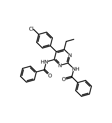 CCc1nc(NC(=O)c2ccccc2)nc(NC(=O)c2ccccc2)c1-c1ccc(Cl)cc1